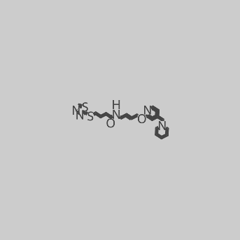 O=C(CCCSc1nncs1)NCC=CCOc1cc(CN2CCCCC2)ccn1